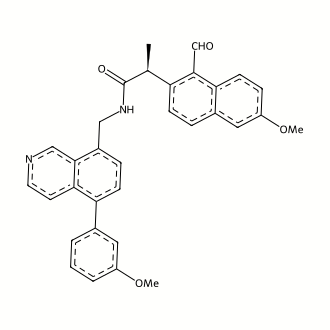 COc1cccc(-c2ccc(CNC(=O)[C@@H](C)c3ccc4cc(OC)ccc4c3C=O)c3cnccc23)c1